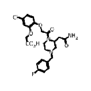 NC(=O)CC1CN(Cc2ccc(F)cc2)CCN1C(=O)COc1ccc(Cl)cc1OCC(=O)O